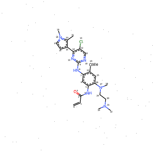 C=CC(=O)Nc1cc(Nc2ncc(Cl)c(-c3ccn(C)c3C)n2)c(OC)cc1N(C)CCN(C)C